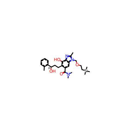 Cc1ccccc1[C@H](O)CCc1c(C(=O)N(C)C)cc2c(nc(C)n2COCC[Si](C)(C)C)c1O